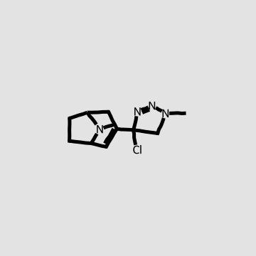 CN1CC(Cl)(C2=CC3CCC(C2)N3C)N=N1